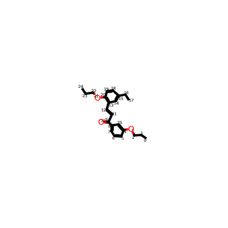 CCCOc1cccc(C(=O)C=Cc2cc(CC)ccc2OCCC)c1